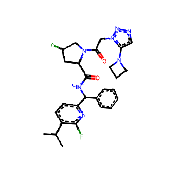 CC(C)c1ccc(C(NC(=O)C2CC(F)CN2C(=O)Cn2nncc2N2CCC2)c2ccccc2)nc1F